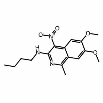 CCCCNc1nc(C)c2cc(OC)c(OC)cc2c1[N+](=O)[O-]